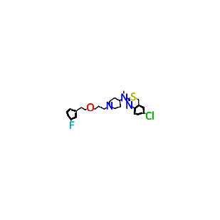 CN(C1=Nc2ccc(Cl)cc2CS1)C1CCN(CCCOCCc2cccc(F)c2)CC1